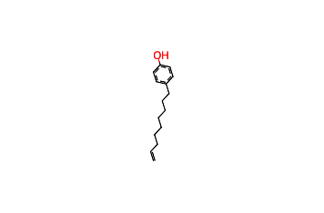 C=CCCCCCCCc1ccc(O)cc1